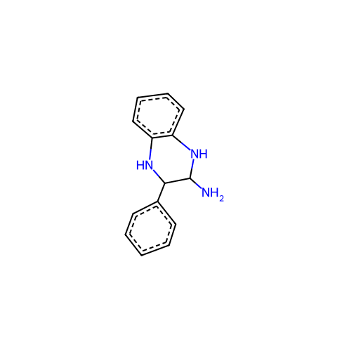 NC1Nc2ccccc2NC1c1ccccc1